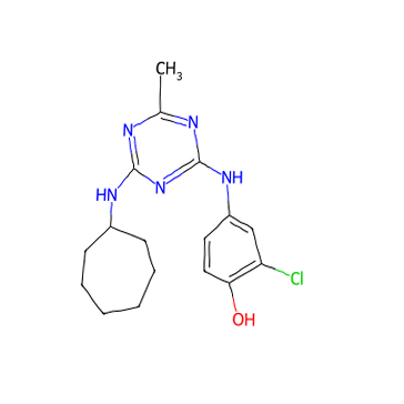 Cc1nc(Nc2ccc(O)c(Cl)c2)nc(NC2CCCCCC2)n1